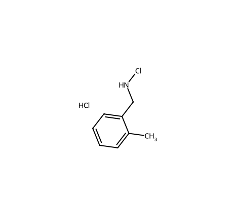 Cc1ccccc1CNCl.Cl